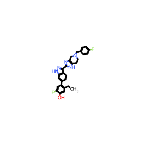 CCc1cc(O)c(F)cc1-c1ccc2c(-c3nc4c([nH]3)CCN(Cc3ccc(F)cc3)C4)n[nH]c2c1